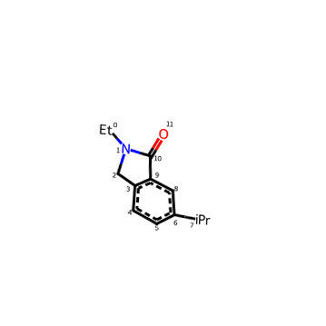 CCN1Cc2ccc(C(C)C)cc2C1=O